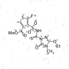 CCOc1nn(C(=S)NS(=O)(=O)c2c(C(=O)OC)csc2F)c(=O)n1C